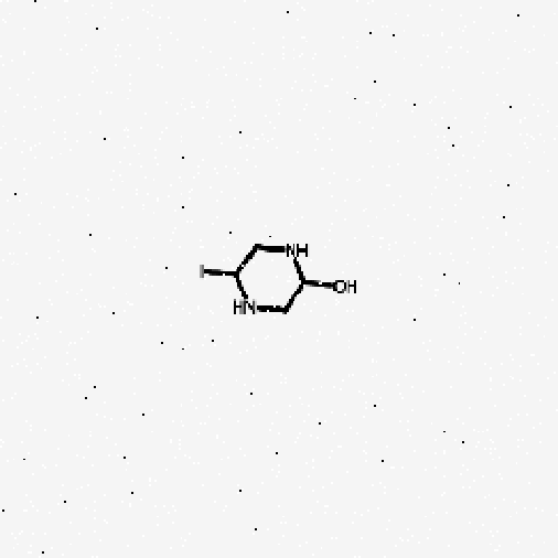 OC1CNC(I)CN1